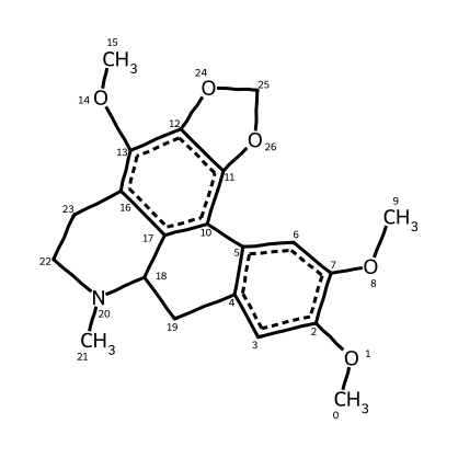 COc1cc2c(cc1OC)-c1c3c(c(OC)c4c1C(C2)N(C)CC4)OCO3